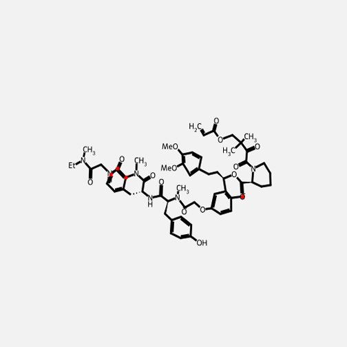 C=CC(=O)OCC(C)(C)C(=O)C(=O)N1CCCC[C@H]1C(=O)O[C@H](CCc1ccc(OC)c(OC)c1)c1cc(OCC(=O)N(C)[C@@H](Cc2ccc(O)cc2)C(=O)N[C@H](Cc2ccccc2)C(=O)N(C)CC(=O)NCC(=O)N(C)CC)ccc1F